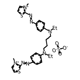 CCN(CCCCN(CC)c1ccc(N=Nc2scc[n+]2C)cc1)c1ccc(N=Nc2scc[n+]2C)cc1.O=S(=O)([O-])[O-]